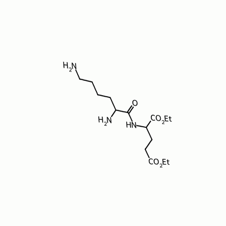 CCOC(=O)CCC(NC(=O)C(N)CCCCN)C(=O)OCC